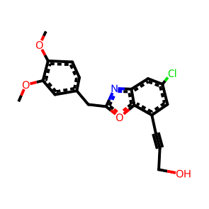 COc1ccc(Cc2nc3cc(Cl)cc(C#CCO)c3o2)cc1OC